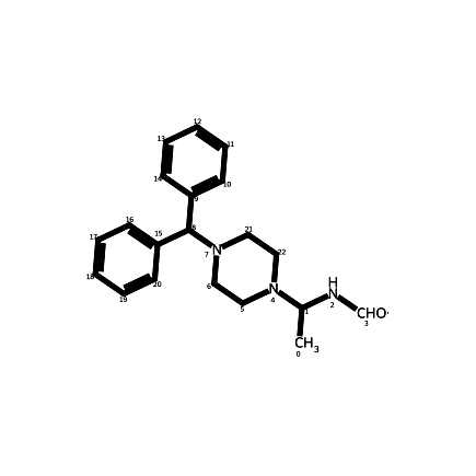 CC(N[C]=O)N1CCN(C(c2ccccc2)c2ccccc2)CC1